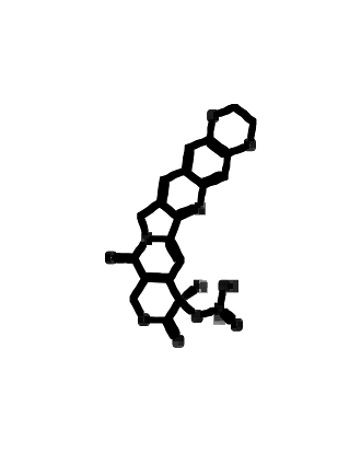 CC[C@@]1(O[PH](=O)O)C(=O)OCc2c1cc1n(c2=O)Cc2cc3cc4c(cc3nc2-1)OCCO4